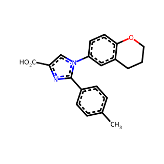 Cc1ccc(-c2nc(C(=O)O)cn2-c2ccc3c(c2)CCCO3)cc1